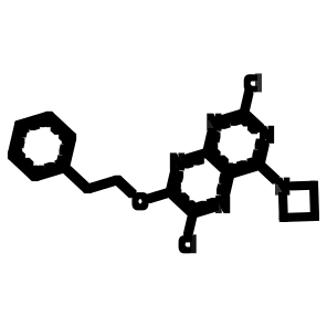 Clc1nc(N2CCC2)c2nc(Cl)c(OCCc3ccccc3)nc2n1